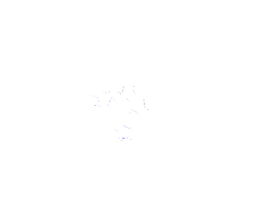 COC(c1nnn[nH]1)c1cccc2ncc(-c3nnn[nH]3)n12